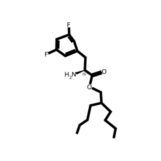 CCCCC(CCCC)COC(=O)[C@@H](N)Cc1cc(F)cc(F)c1